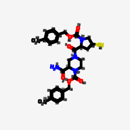 NC(=O)C1CN(C(=O)C2CC(S)CN2C(=O)OCc2ccc([N+](=O)[O-])cc2)CCN1C(=O)OCc1ccc([N+](=O)[O-])cc1